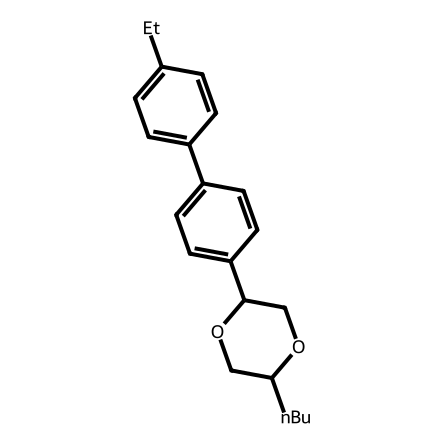 CCCCC1COC(c2ccc(-c3ccc(CC)cc3)cc2)CO1